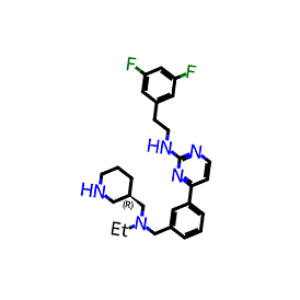 CCN(Cc1cccc(-c2ccnc(NCCc3cc(F)cc(F)c3)n2)c1)C[C@@H]1CCCNC1